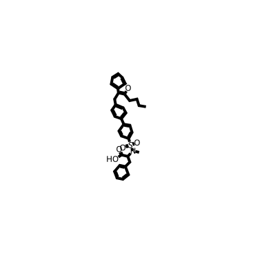 CCCCc1oc2ccccc2c1Cc1ccc(-c2ccc(S(=O)(=O)N(C)C(Cc3ccccc3)C(=O)O)cc2)cc1